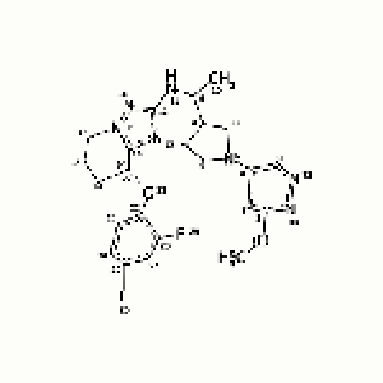 COc1cc(N2CCC(C(C)Nc3nc4n(n3)CCC[C@H]4Oc3ccc(F)cc3F)C2)cnn1